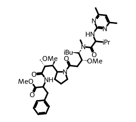 CC[C@H](C)[C@@H]([C@@H](CC(=O)N1CCCC1[C@H](OC)[C@@H](C)C(=O)NC(Cc1ccccc1)C(=O)OC)OC)N(C)C(=O)C(Nc1nc(C)cc(C)n1)C(C)C